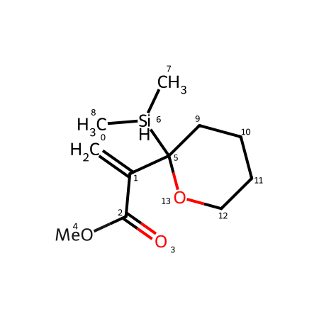 C=C(C(=O)OC)C1([SiH](C)C)CCCCO1